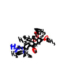 CCC/C(=C\c1cc(OC)cc(OC)c1OC)C(=O)c1ccc(N)c(N(C)C)c1